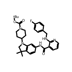 CC(C)(C)OC(=O)N1CCC(N2CC(C)(C)c3ccc(NC(=O)c4cccnc4NCc4ccc(F)cc4)cc32)CC1